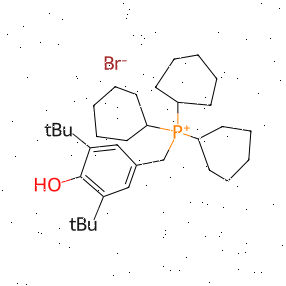 CC(C)(C)c1cc(C[P+](C2CCCCC2)(C2CCCCC2)C2CCCCC2)cc(C(C)(C)C)c1O.[Br-]